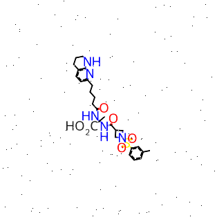 Cc1cccc(S(=O)(=O)N2CC(C(=O)NC(C)(NC(=O)CCCCc3ccc4c(n3)NCCC4)C(=O)O)C2)c1